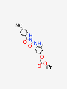 Cc1cc(OCC(=O)OC(C)C)ccc1NC(=O)NC(=O)c1ccc(C#N)cc1